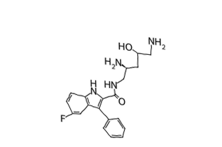 NCC(O)C[C@H](N)CNC(=O)c1[nH]c2ccc(F)cc2c1-c1ccccc1